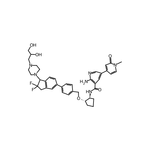 Cn1ccc(-c2cnc(N)c(C(=O)N[C@H]3CCC[C@@H]3OCc3ccc(-c4ccc5c(c4)CC(F)(F)C5N4CCN(CC(O)CO)CC4)cc3)c2)cc1=O